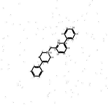 C1=C(c2ccccc2)CCN(Cc2cccc(-c3ccccc3)n2)C1